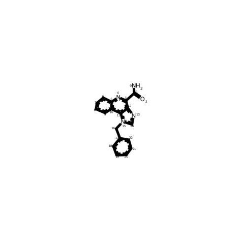 NC(=O)c1nc2ccccc2c2c1ncn2Cc1ccccc1